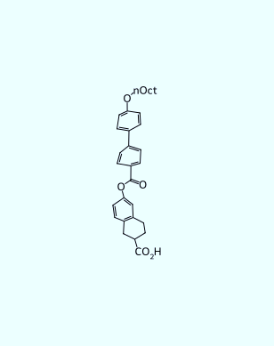 CCCCCCCCOc1ccc(-c2ccc(C(=O)Oc3ccc4c(c3)CCC(C(=O)O)C4)cc2)cc1